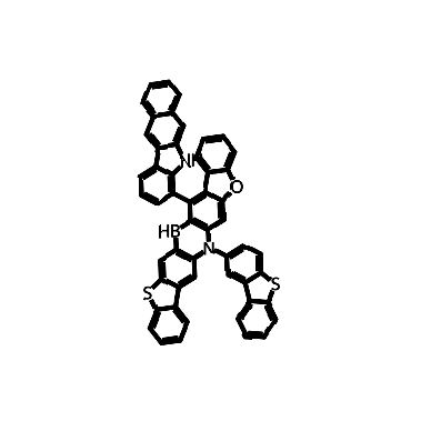 B1c2cc3sc4ccccc4c3cc2N(c2ccc3sc4ccccc4c3c2)c2cc3oc4ccccc4c3c(-c3cccc4c3[nH]c3cc5ccccc5cc34)c21